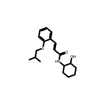 CC(C)CSc1ccccc1/C=C/C(=O)NC1CCCCC1O